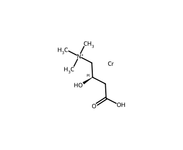 C[N+](C)(C)C[C@H](O)CC(=O)O.[Cr]